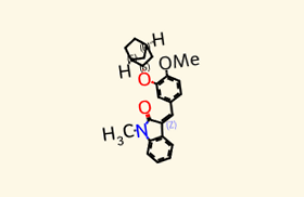 COc1ccc(/C=C2\C(=O)N(C)c3ccccc32)cc1O[C@H]1C[C@@H]2CC[C@H]1C2